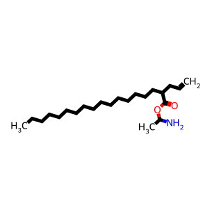 C=CCC(CCCCCCCCCCCCCCCC)C(=O)OC(C)N